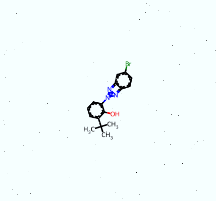 CC(C)(C)c1cccc(-n2n3c4ccc(Br)cc4n23)c1O